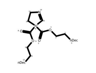 CCCCCCCCCCCCOC(=O)[N+]1(C(=O)OCCCCCCCCCCCC)C=NCC1